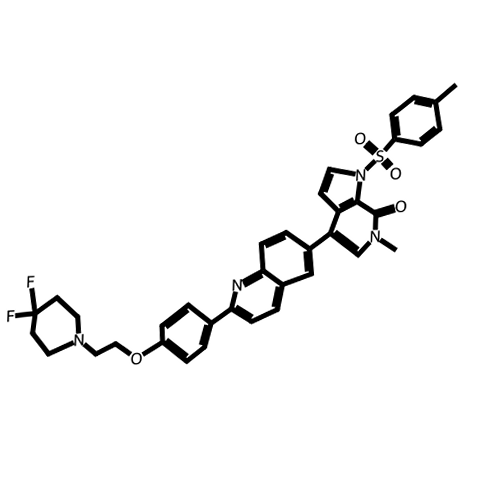 Cc1ccc(S(=O)(=O)n2ccc3c(-c4ccc5nc(-c6ccc(OCCN7CCC(F)(F)CC7)cc6)ccc5c4)cn(C)c(=O)c32)cc1